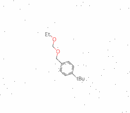 CCOCOCc1ccc(C(C)(C)C)cc1